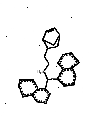 C1=CC2CC1CC2CC[SiH2]C(c1cccc2ccccc12)c1cccc2ccccc12